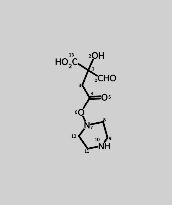 O=CC(O)(CC(=O)ON1CCNCC1)C(=O)O